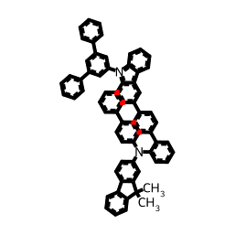 CC1(C)c2ccccc2-c2ccc(N(c3ccc(-c4ccccc4)cc3)c3ccccc3-c3ccc(-c4ccc5c(c4)c4ccccc4n5-c4cc(-c5ccccc5)cc(-c5ccccc5)c4)cc3)cc21